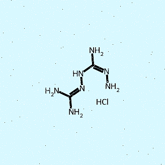 Cl.NN=C(N)NN=C(N)N